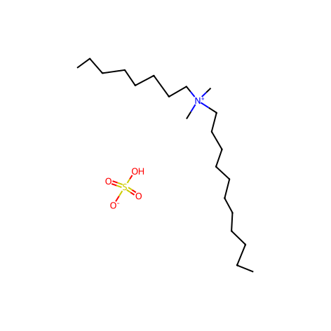 CCCCCCCCCCC[N+](C)(C)CCCCCCCC.O=S(=O)([O-])O